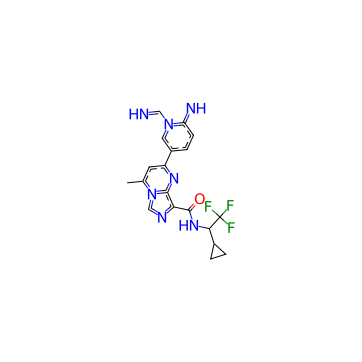 Cc1cc(-c2ccc(=N)n(C=N)c2)nc2c(C(=O)NC(C3CC3)C(F)(F)F)ncn12